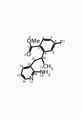 COC(=O)c1ccc(F)cc1C(C)Cc1cccnc1N